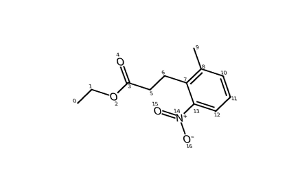 CCOC(=O)CCc1c(C)cccc1[N+](=O)[O-]